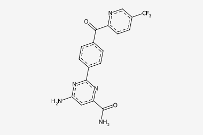 NC(=O)c1cc(N)nc(-c2ccc(C(=O)c3ccc(C(F)(F)F)cn3)cc2)n1